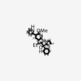 CCn1c(C(O)(c2ccccc2)c2nccs2)nc2nc(OC)c(-c3nnn[nH]3)cc21